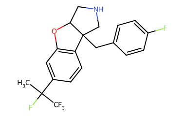 CC(F)(c1ccc2c(c1)OC1CNCC21Cc1ccc(F)cc1)C(F)(F)F